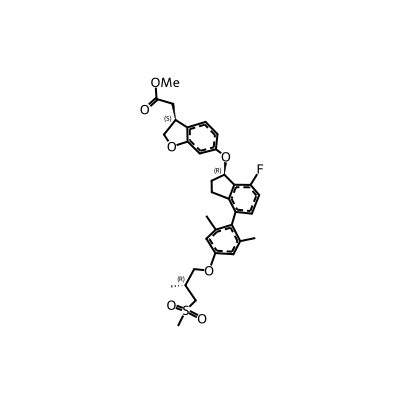 COC(=O)C[C@@H]1COc2cc(O[C@@H]3CCc4c(-c5c(C)cc(OC[C@@H](C)CS(C)(=O)=O)cc5C)ccc(F)c43)ccc21